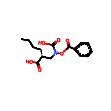 CCCC[C@H](CN(OC(=O)c1ccccc1)C(=O)O)C(=O)O